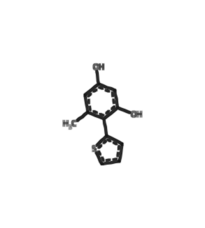 Cc1cc(O)cc(O)c1-c1cccs1